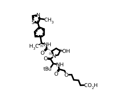 Cc1ncsc1-c1ccc([C@H](C)NC(=O)[C@@H]2C[C@@H](O)CN2C(=O)C(NC(=O)COCCCCC(=O)O)C(C)(C)C)cc1